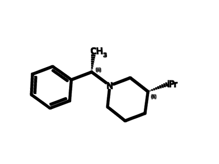 CC(C)[C@@H]1CCCN([C@@H](C)c2ccccc2)C1